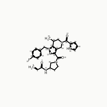 C=CC(=O)NC1CCN(C(=O)c2nn(Cc3ccc(F)cc3)c3c2CN(C(=O)c2ccc[nH]2)CC3C)C1